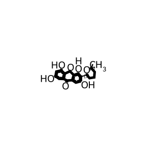 C[C@H]1CCC[C@@H](c2c(O)cc3c(c2O)C(=O)c2c(O)cc(O)cc2C3=O)O1